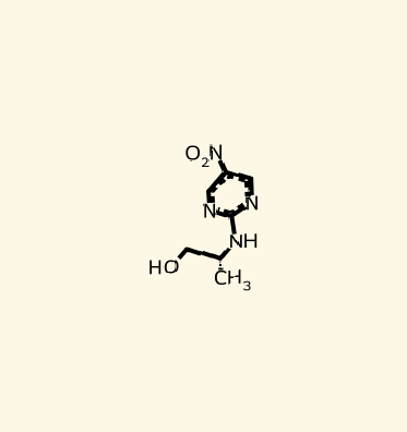 C[C@H](CO)Nc1ncc([N+](=O)[O-])cn1